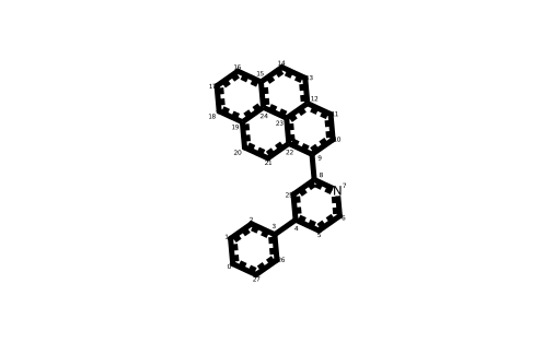 c1ccc(-c2ccnc(-c3ccc4ccc5cccc6ccc3c4c56)c2)cc1